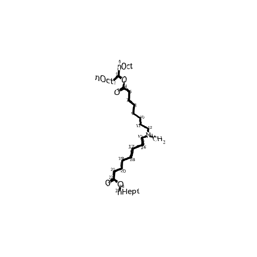 CCCCCCCCC(CCCCCCCC)OC(=O)CCCCCCCN(C)CCCCCCCC(=O)OCCCCCCC